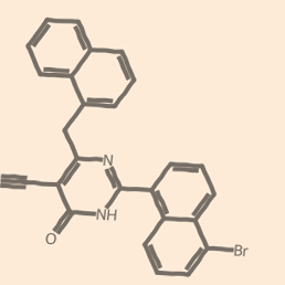 N#Cc1c(Cc2cccc3ccccc23)nc(-c2cccc3c(Br)cccc23)[nH]c1=O